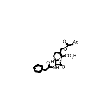 CC(=O)CC(=O)OCC1=C(C(=O)O)N2C(=O)C(NC(=O)Cc3ccccc3)[C@H]2SC1